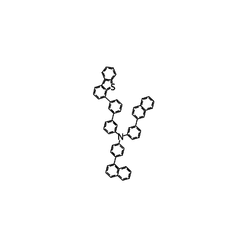 c1cc(-c2cccc(N(c3ccc(-c4cccc5ccccc45)cc3)c3cccc(-c4ccc5ccccc5c4)c3)c2)cc(-c2cccc3c2sc2ccccc23)c1